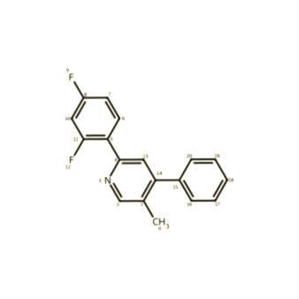 Cc1cnc(-c2ccc(F)cc2F)cc1-c1ccccc1